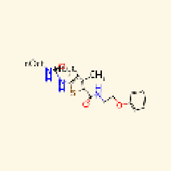 CCCCCCCCNC(=O)Nc1sc(C(=O)NCCOc2ccccc2)c(C)c1C(=O)O